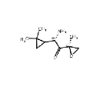 CC1(C)CC1[C@H](N)C(=O)[C@@]1(C)CO1